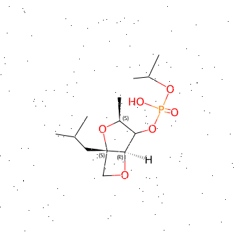 CC(C)C[C@]12CO[C@@H]1C(OP(=O)(O)OC(C)C)[C@H](C)O2